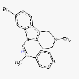 C/C(=C/n1c2c(c3ccc(C(C)C)cc31)CN(C)CC2)c1ccncc1